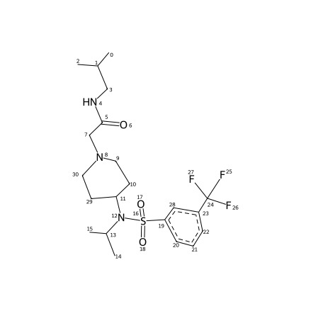 CC(C)CNC(=O)CN1CCC(N(C(C)C)S(=O)(=O)c2cccc(C(F)(F)F)c2)CC1